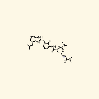 CC(C)=Cc1cncc2[nH]c(Cn3cccc(NC(=O)C(CC/C=C/C(=O)N(C)C)OC(=O)N(C)C)c3=O)nc12